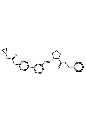 O=C(Cc1ccc(-c2cccc(C=C[C@@H]3CCCN3C(=O)OCc3ccccc3)c2)cc1)NC1CC1